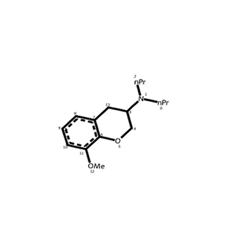 CCCN(CCC)C1COc2c(cccc2OC)C1